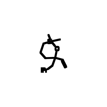 C=CC1(CC(C)C)CCC[Si](C)(C)O1